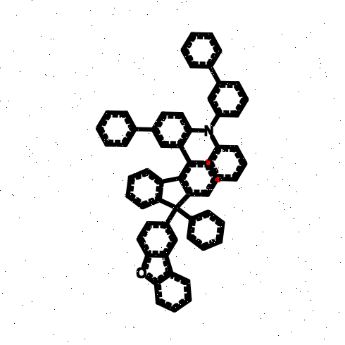 c1ccc(-c2cccc(N(c3ccccc3)c3ccc(-c4ccccc4)cc3-c3cccc4c3-c3ccccc3C4(c3ccccc3)c3ccc4oc5ccccc5c4c3)c2)cc1